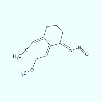 CC/C=C1/CCCC(=N\N=O)/C1=C/COC